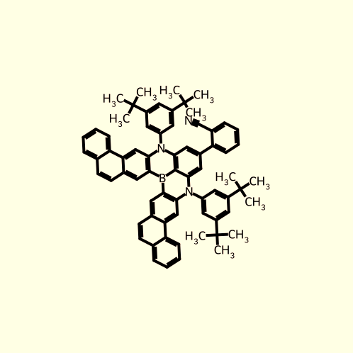 CC(C)(C)c1cc(N2c3cc4c(ccc5ccccc54)cc3B3c4cc5ccc6ccccc6c5cc4N(c4cc(C(C)(C)C)cc(C(C)(C)C)c4)c4cc(-c5ccccc5C#N)cc2c43)cc(C(C)(C)C)c1